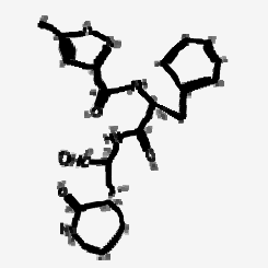 Cc1cc(C(=O)N[C@@H](Cc2ccccc2)C(=O)NC(C=O)C[C@@H]2CCNC2=O)no1